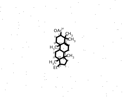 CCC1CCC2(C)C3CC=C4C(C)(C)C(OC(C)=O)CCC4(C)C3CCC12C